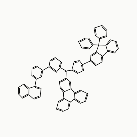 c1ccc(C2(c3ccccc3)c3ccccc3-c3ccc(-c4ccc(N(c5cccc(-c6cccc(-c7cccc8ccccc78)c6)c5)c5ccc6c7ccccc7c7ccccc7c6c5)cc4)cc32)cc1